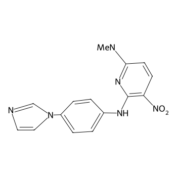 CNc1ccc([N+](=O)[O-])c(Nc2ccc(-n3ccnc3)cc2)n1